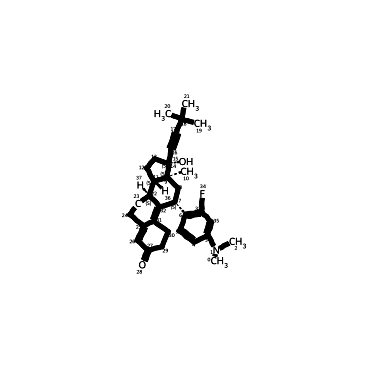 CN(C)c1ccc([C@H]2C[C@@]3(C)[C@@H](CC[C@@]3(O)C#CC(C)(C)C)[C@@H]3CCC4=CC(=O)CCC4=C32)c(F)c1